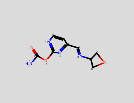 NC(=O)Oc1nccc(C=NC2COC2)n1